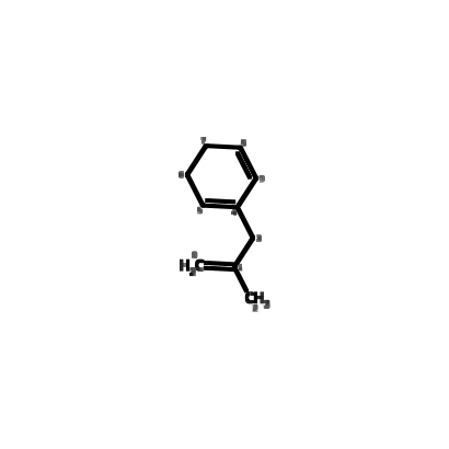 C=C(C)CC1=CCCC=C1